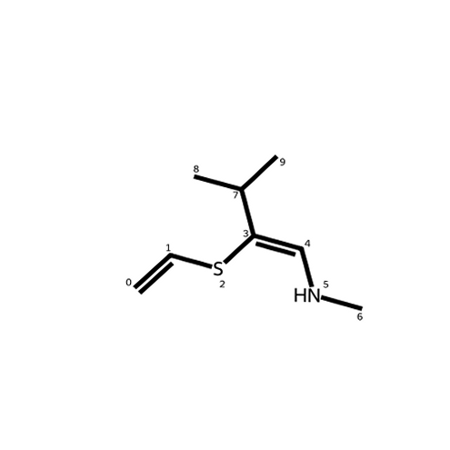 C=CS/C(=C\NC)C(C)C